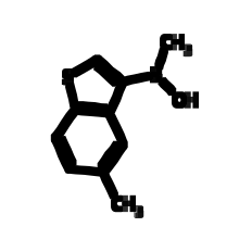 CB(O)c1csc2ccc(C)cc12